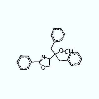 COC(Cc1ccccc1)(Cc1ccccc1)C1COC(c2ccccc2)=N1